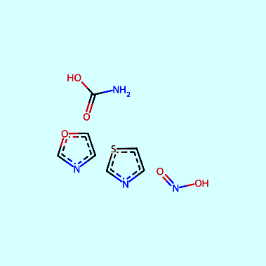 NC(=O)O.O=NO.c1cocn1.c1cscn1